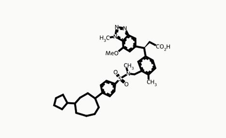 COc1cc([C@@H](CC(=O)O)c2ccc(C)c(CN(C)S(=O)(=O)c3ccc(C4CCCCC(C5CCCC5)CC4)cc3)c2)cc2nnn(C)c12